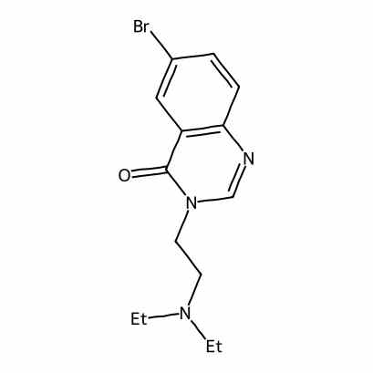 CCN(CC)CCn1cnc2ccc(Br)cc2c1=O